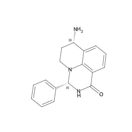 N[C@H]1CCN2c3c(cccc31)C(=O)N[C@@H]2c1ccccc1